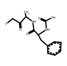 CC(NC(=O)C(Cc1ccccc1)NC(=O)O)C(=O)CF